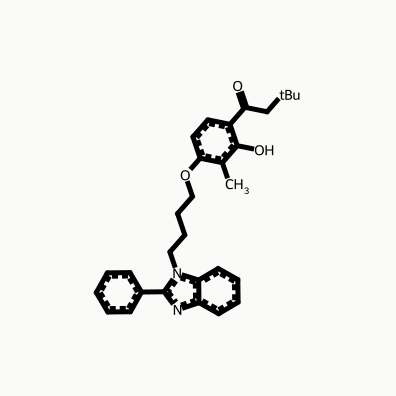 Cc1c(OCCCCn2c(-c3ccccc3)nc3ccccc32)ccc(C(=O)CC(C)(C)C)c1O